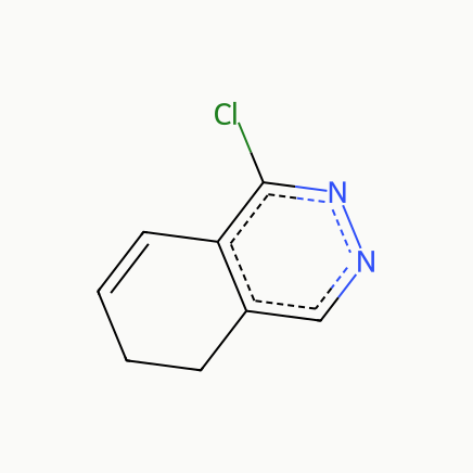 Clc1nncc2c1C=CCC2